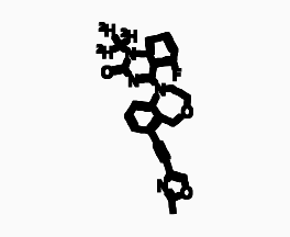 [2H]C([2H])([2H])n1c(=O)nc(N2CCOCc3c(C#Cc4coc(C)n4)cccc32)c2c(F)cccc21